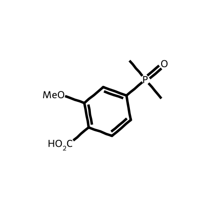 COc1cc(P(C)(C)=O)ccc1C(=O)O